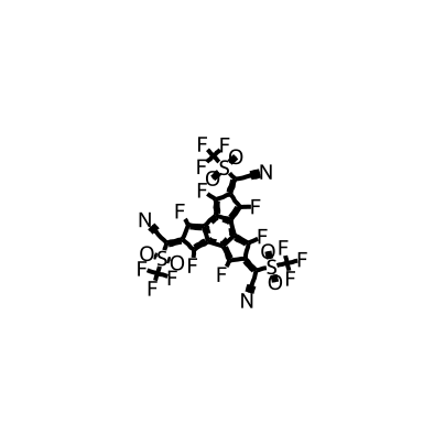 N#CC(=C1C(F)=c2c3c(c4c(c2=C1F)=C(F)C(=C(C#N)S(=O)(=O)C(F)(F)F)C=4F)=C(F)C(=C(C#N)S(=O)(=O)C(F)(F)F)C=3F)S(=O)(=O)C(F)(F)F